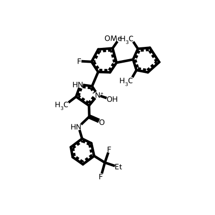 CCC(F)(F)c1cccc(NC(=O)c2c(C)[nH]c(-c3cc(-c4c(C)cccc4C)c(OC)cc3F)[n+]2O)c1